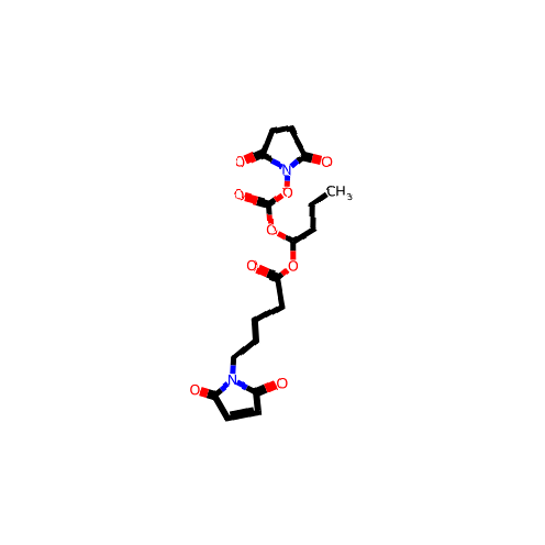 CCCC(OC(=O)CCCCN1C(=O)C=CC1=O)OC(=O)ON1C(=O)CCC1=O